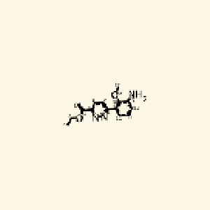 C=C(OCC)c1ccc(-c2cccc(N)c2OC)nn1